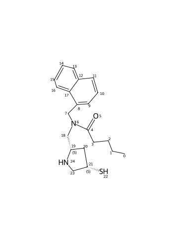 CCCCC(=O)N(Cc1cccc2ccccc12)C[C@@H]1C[C@H](S)CN1